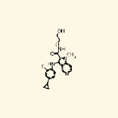 Cn1c(C(=O)NOCCO)c(Nc2ccc(C3CC3)cc2F)c2cnccc21